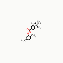 C=C[Si](C)(C)c1ccc(C(=O)OO[C]2CC(C)CCC2C)cc1